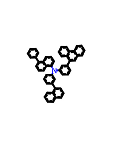 c1ccc(-c2cccc3c(N(c4cccc(-c5cccc6ccccc56)c4)c4cccc(-c5cc6ccccc6c6ccccc56)c4)cccc23)cc1